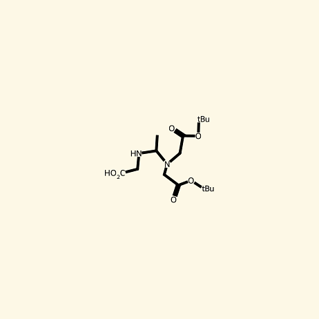 CC(NCC(=O)O)N(CC(=O)OC(C)(C)C)CC(=O)OC(C)(C)C